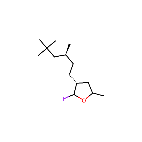 CC1C[C@@H](CC[C@H](C)CC(C)(C)C)C(I)O1